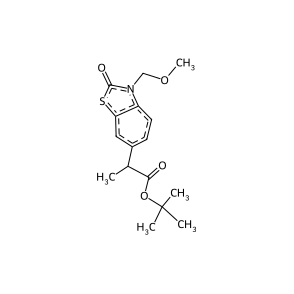 COCn1c(=O)sc2cc(C(C)C(=O)OC(C)(C)C)ccc21